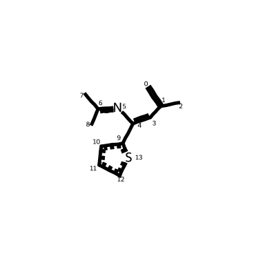 C=C(C)/C=C(\N=C(C)C)c1cccs1